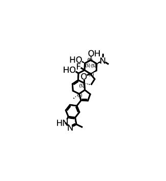 Cc1n[nH]c2ccc(C3=CCC4[C@]3(C)CC=C3C(O)C5(F)[C@@H](O)[C@H](O)[C@@H](N(C)C)C[C@]56CC[C@@]34O6)cc12